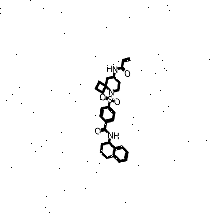 C=CC(=O)NC1CCN(S(=O)(=O)c2ccc(C(=O)NC3CCCc4ccccc43)cc2)C2(CCC2)C1